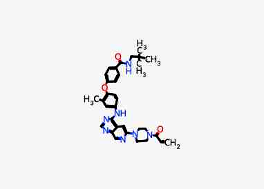 C=CC(=O)N1CCN(c2cc3c(Nc4ccc(Oc5ccc(C(=O)NCC(C)(C)C)cc5)c(C)c4)ncnc3cn2)CC1